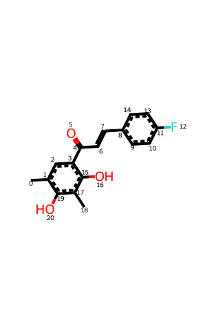 Cc1cc(C(=O)/C=C/c2ccc(F)cc2)c(O)c(C)c1O